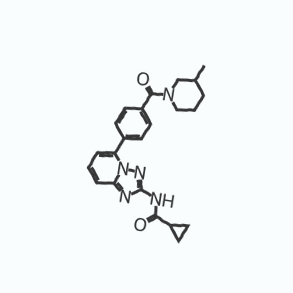 CC1CCCN(C(=O)c2ccc(-c3cccc4nc(NC(=O)C5CC5)nn34)cc2)C1